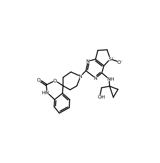 O=C1Nc2ccccc2C2(CCN(c3nc4c(c(NC5(CO)CC5)n3)[S+]([O-])CC4)CC2)O1